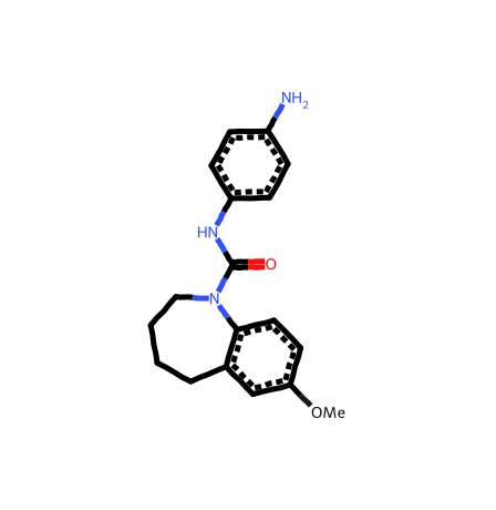 COc1ccc2c(c1)CCCCN2C(=O)Nc1ccc(N)cc1